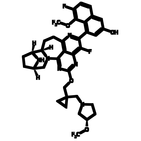 Oc1cc(-c2nc3c4c(nc(OCC5(CN6CC[C@H](OC(F)(F)F)C6)CC5)nc4c2F)N2C[C@H]4CC[C@H](N4)[C@H]2CC3)c2c(OC(F)(F)F)c(F)ccc2c1